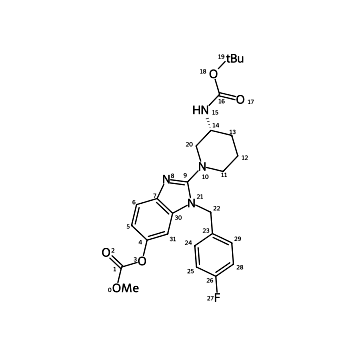 COC(=O)Oc1ccc2nc(N3CCC[C@@H](NC(=O)OC(C)(C)C)C3)n(Cc3ccc(F)cc3)c2c1